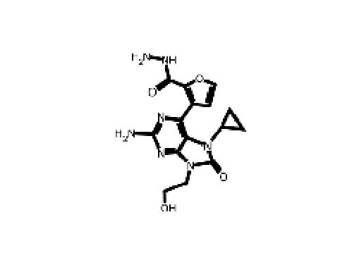 NNC(=O)c1occc1-c1nc(N)nc2c1n(C1CC1)c(=O)n2CCO